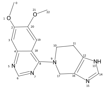 COc1cc2ncnc(N3CCc4[nH]cnc4C3)c2cc1OC